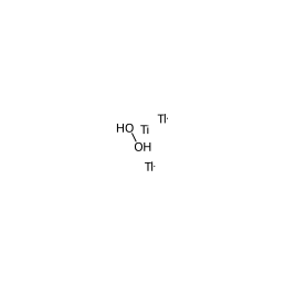 OO.[Ti].[Tl].[Tl]